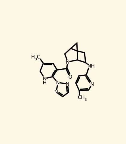 CC1=CC(C(=O)N2CC3CC34CC(Nc3ccc(C)cn3)C24)=C(n2nccn2)NC1